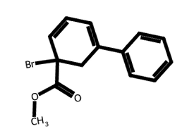 COC(=O)C1(Br)C=CC=C(c2ccccc2)C1